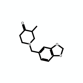 CC1CN(Cc2ccc3c(c2)OCO3)CCC1=O